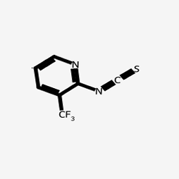 FC(F)(F)c1c[c]cnc1N=C=S